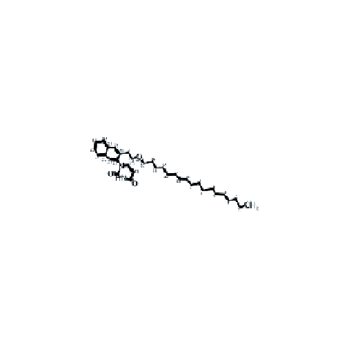 CCCCCCCCCCCCCCCCCCOCCc1[c]c2ccccc2cc1-n1ccc(=O)[nH]c1=O